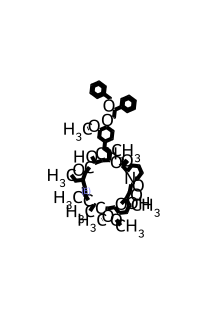 CCC1/C=C(\C)CC(C)CC(OC)C2OC(O)(C(=O)C(=O)N3CCCCC3C(=O)OC(C(C)=CC3CCC(OCC(OCc4ccccc4)c4ccccc4)C(OC)C3)C(C)C(O)CC1=O)C(C)CC2OC